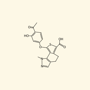 CC(=O)c1ccc(Oc2sc(C(=O)O)c3c2-c2c(cnn2C)CC3)cc1O